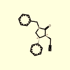 C#CC[C@@H]1C(=O)N(Cc2ccccc2)C[C@H]1c1ccccc1